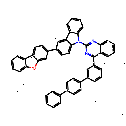 c1ccc(-c2ccc(-c3cccc(-c4nc(-n5c6ccccc6c6cc(-c7ccc8c(c7)oc7ccccc78)ccc65)nc5ccccc45)c3)cc2)cc1